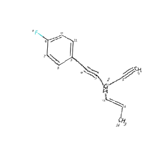 C#C[SiH](C#Cc1ccc(F)cc1)C=CC